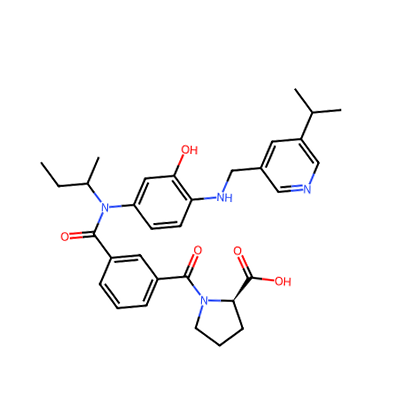 CCC(C)N(C(=O)c1cccc(C(=O)N2CCC[C@@H]2C(=O)O)c1)c1ccc(NCc2cncc(C(C)C)c2)c(O)c1